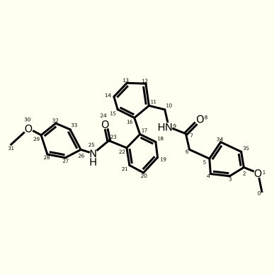 COc1ccc(CC(=O)NCc2ccccc2-c2ccccc2C(=O)Nc2ccc(OC)cc2)cc1